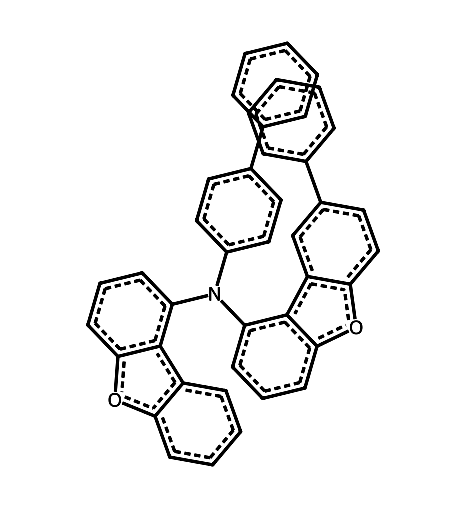 c1ccc(-c2ccc(N(c3cccc4oc5ccccc5c34)c3cccc4oc5ccc(-c6ccccc6)cc5c34)cc2)cc1